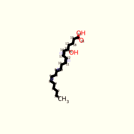 CCCCC/C=C\C/C=C/C/C=C\C=C/[C@@H](O)CCCC(=O)O